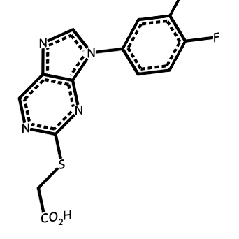 O=C(O)CSc1ncc2ncn(-c3ccc(F)c(F)c3)c2n1